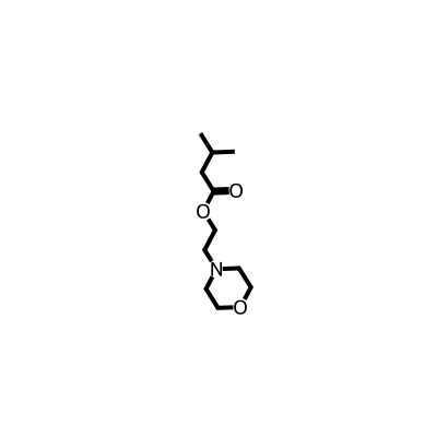 CC(C)CC(=O)OCCN1CCOCC1